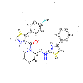 Cc1nc(C(=O)N2CCCCC2CNc2nc(-c3ccccc3)cs2)c(-c2ccc(F)cc2)s1